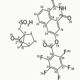 CC1(C)C2CCC1(CS(=O)(=O)O)C(=O)C2.O=C(Oc1cc2c3c(cccc3c1)C(=O)NC2=O)c1c(F)c(F)c(F)c(F)c1F